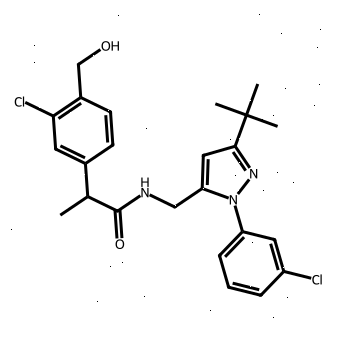 CC(C(=O)NCc1cc(C(C)(C)C)nn1-c1cccc(Cl)c1)c1ccc(CO)c(Cl)c1